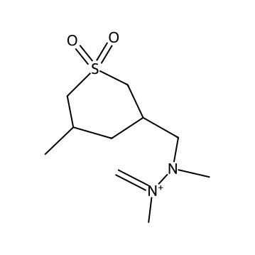 C=[N+](C)N(C)CC1CC(C)CS(=O)(=O)C1